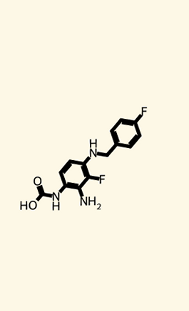 Nc1c(NC(=O)O)ccc(NCc2ccc(F)cc2)c1F